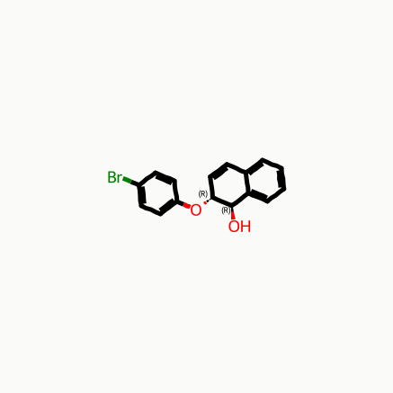 O[C@@H]1c2ccccc2C=C[C@H]1Oc1ccc(Br)cc1